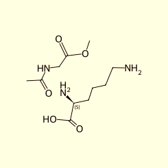 COC(=O)CNC(C)=O.NCCCC[C@H](N)C(=O)O